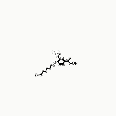 C=CCc1cc(C(=O)CO)ccc1OCCCCCCCBr